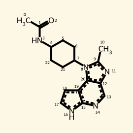 CC(=O)NC1CCC(n2c(C)nc3cnc4[nH]ccc4c32)CC1